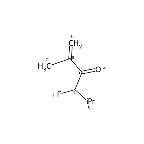 [CH2]C(C)C(F)C(=O)C(=C)C